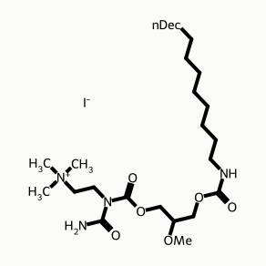 CCCCCCCCCCCCCCCCCCNC(=O)OCC(COC(=O)N(CC[N+](C)(C)C)C(N)=O)OC.[I-]